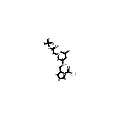 CC(C)CC(CSCC(=O)OC(C)(C)C)NCC1CCCN1C(=O)O